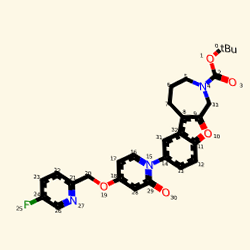 CC(C)(C)OC(=O)N1CCCc2c(oc3ccc(-n4ccc(OCc5ccc(F)cn5)cc4=O)cc23)C1